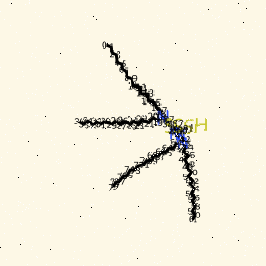 CCCCCCCCCCCCCCCCCCN(CCCCCCCCCCCCCCCCCC)CSC1=NN(CN(CCCCCCCCCCCCCCCCCC)CCCCCCCCCCCCCCCCCC)C(S)S1